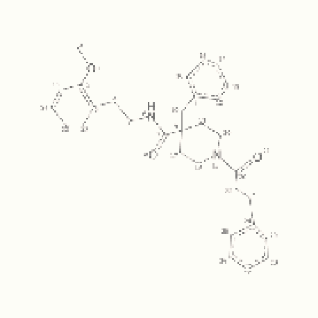 COC1=C(CCNC(=O)C2(Cc3ccccc3)CCN(C(=O)CCc3ccccc3)CC2)CCC=C1